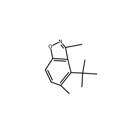 Cc1ccc2onc(C)c2c1C(C)(C)C